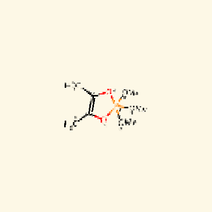 COP1(OC)(OC)OC(C)=C(C)O1